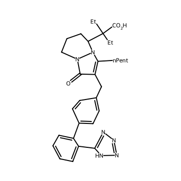 CCCCCc1c(Cc2ccc(-c3ccccc3-c3nnn[nH]3)cc2)c(=O)n2n1C(C(CC)(CC)C(=O)O)CCC2